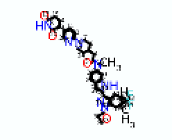 CN(C(=O)CC1CCN(c2ccc([C@H]3CCC(=O)NC3=O)cn2)CC1)c1ccc2cc(-c3nn(C4CCO4)c4c3C[C@@H]3C(F)(F)[C@]3(C)C4)[nH]c2c1